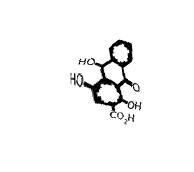 O=C(O)c1cc(O)c2c(c1O)C(=O)c1ccccc1C2O